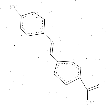 COC(=O)c1ccc(C=Nc2ccc(O)cc2)cc1